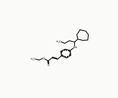 CCCC(Nc1ccc(C=CC(=O)OCC)cc1)C1CCCCCC1